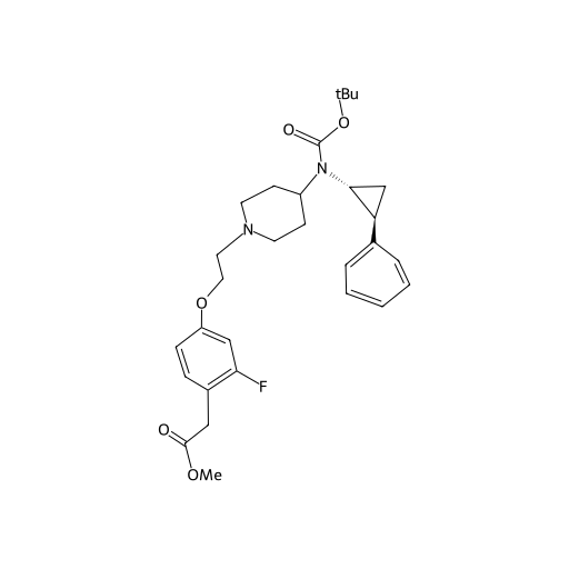 COC(=O)Cc1ccc(OCCN2CCC(N(C(=O)OC(C)(C)C)[C@@H]3C[C@H]3c3ccccc3)CC2)cc1F